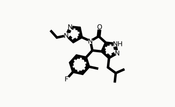 CCn1cc(N2C(=O)c3[nH]nc(CC(C)C)c3C2c2ccc(F)cc2C)cn1